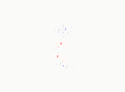 CCCCNC(=O)COC(=O)c1ccc(OC(=O)c2ccc(NC(=N)N)cc2)cc1